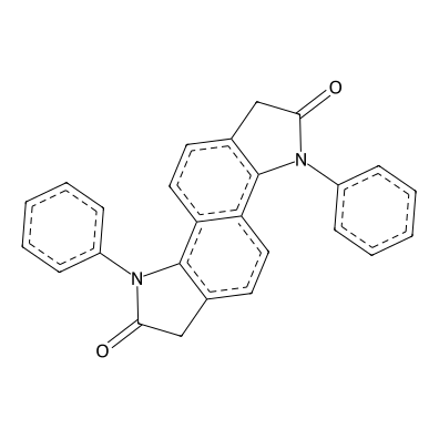 O=C1Cc2ccc3c4c(ccc3c2N1c1ccccc1)CC(=O)N4c1ccccc1